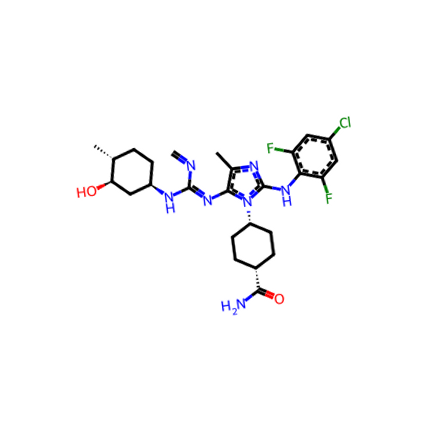 C=N/C(=N\c1c(C)nc(Nc2c(F)cc(Cl)cc2F)n1[C@H]1CC[C@@H](C(N)=O)CC1)N[C@@H]1CC[C@@H](C)[C@H](O)C1